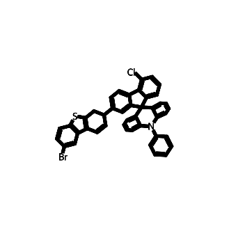 Clc1cccc2c1-c1ccc(C3C=Cc4c(sc5ccc(Br)cc45)C3)cc1C21c2ccccc2N(c2ccccc2)c2ccccc21